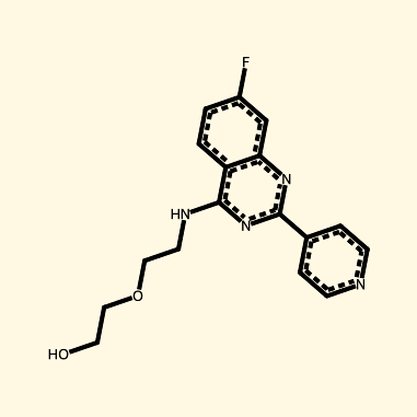 OCCOCCNc1nc(-c2ccncc2)nc2cc(F)ccc12